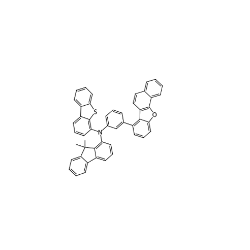 CC1(C)c2ccccc2-c2cccc(N(c3cccc(-c4cccc5oc6c7ccccc7ccc6c45)c3)c3cccc4c3sc3ccccc34)c21